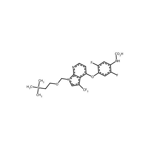 C[Si](C)(C)CCOCn1cc(C(F)(F)F)c2c(Oc3cc(F)c(NC(=O)O)cc3F)ccnc21